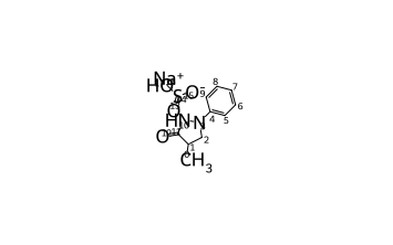 CC1CN(c2ccccc2)NC1=O.O=S([O-])O.[Na+]